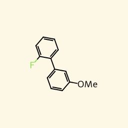 COc1cccc(-c2ccccc2F)c1